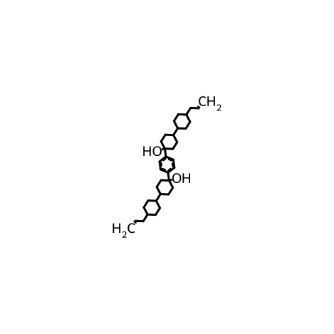 C=CCC1CCC(C2CCC(O)(c3ccc(C4(O)CCC(C5CCC(CC=C)CC5)CC4)cc3)CC2)CC1